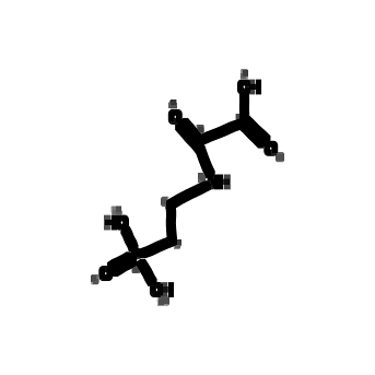 O=C(O)C(=O)NCCP(=O)(O)O